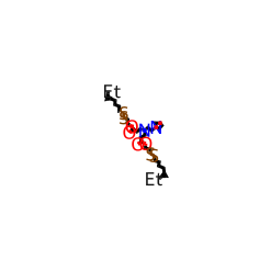 CCC1CC1CCCCSSCCOC(=O)CCN(CCC(=O)OCCSSCCCCC1CC1CC)CCN1CCCC1